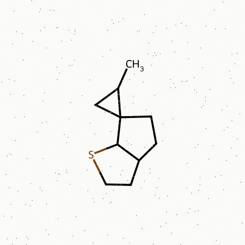 CC1CC12CCC1CCSC12